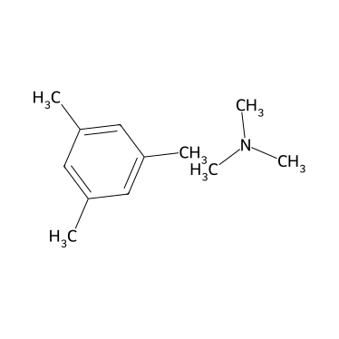 CN(C)C.Cc1cc(C)cc(C)c1